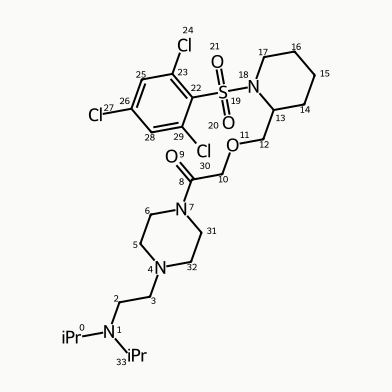 CC(C)N(CCN1CCN(C(=O)COCC2CCCCN2S(=O)(=O)c2c(Cl)cc(Cl)cc2Cl)CC1)C(C)C